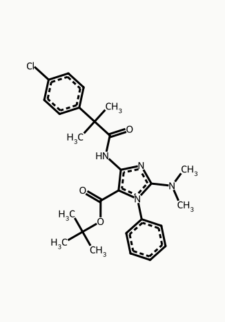 CN(C)c1nc(NC(=O)C(C)(C)c2ccc(Cl)cc2)c(C(=O)OC(C)(C)C)n1-c1ccccc1